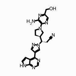 N#CC[C@@H]([C@H]1CCN(c2ncc(CO)nc2N)C1)n1cc(-c2ncnc3[nH]ccc23)cn1